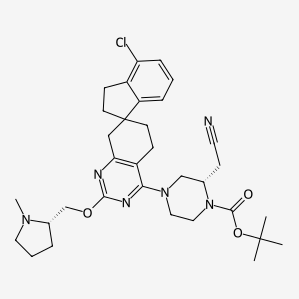 CN1CCC[C@H]1COc1nc2c(c(N3CCN(C(=O)OC(C)(C)C)[C@@H](CC#N)C3)n1)CCC1(CCc3c(Cl)cccc31)C2